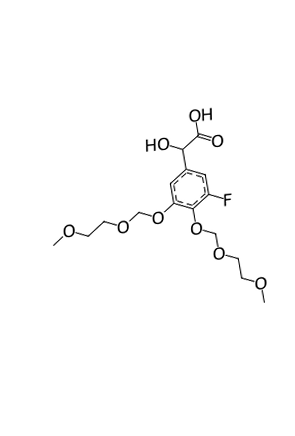 COCCOCOc1cc(C(O)C(=O)O)cc(F)c1OCOCCOC